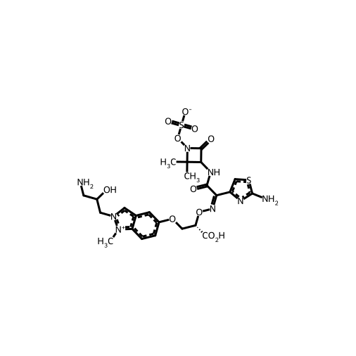 C[n+]1c2ccc(OC[C@H](O/N=C(\C(=O)NC3C(=O)N(OS(=O)(=O)[O-])C3(C)C)c3csc(N)n3)C(=O)O)cc2cn1CC(O)CN